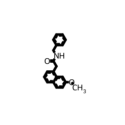 COc1ccc2cccc(CC(=O)NCc3ccccc3)c2c1